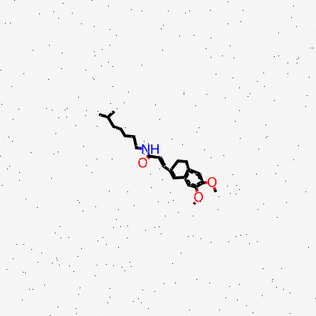 COc1cc2c(cc1OC)CCC(C=CC(=O)NCCCCCC(C)C)=C2